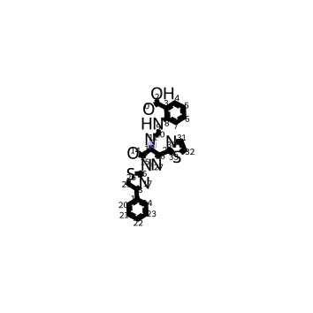 O=C(O)c1ccccc1NC/N=C1/C(=O)N(C2=NC(c3ccccc3)CS2)N=C1c1nccs1